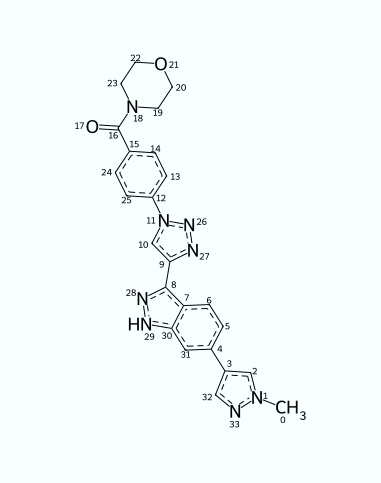 Cn1cc(-c2ccc3c(-c4cn(-c5ccc(C(=O)N6CCOCC6)cc5)nn4)n[nH]c3c2)cn1